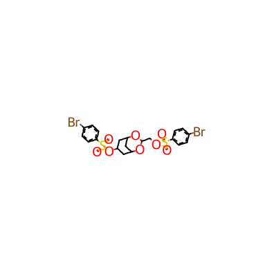 O=S(=O)(OCC1OC2CC(CC(OS(=O)(=O)c3ccc(Br)cc3)C2)O1)c1ccc(Br)cc1